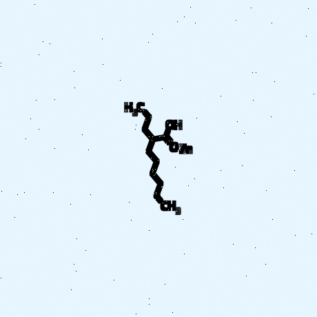 CCCCCCC(CCC)C(=O)O.[Zn]